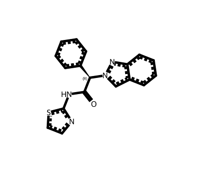 O=C(Nc1nccs1)[C@@H](c1ccccc1)n1cc2ccccc2n1